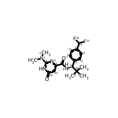 CN(C)c1nc(C(=O)N[C@@H](c2ccc(C(F)F)cc2)C(C)(C)C)cc(=O)[nH]1